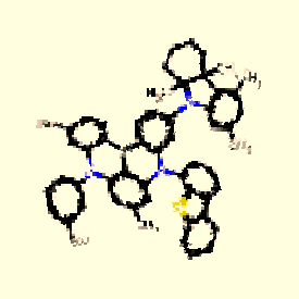 Cc1cc2c3c(c1)N(c1cccc4c1sc1ccccc14)c1cc(N4c5cc(C)cc(C)c5C5(C)CCCCC45C)ccc1B3c1ccc(C(C)(C)C)cc1N2c1cccc(C(C)(C)C)c1